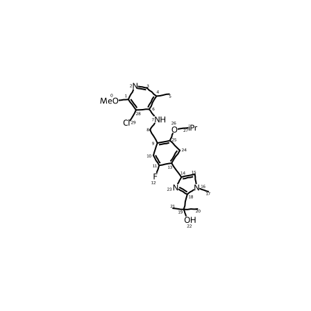 COc1ncc(C)c(NCc2cc(F)c(-c3cn(C)c(C(C)(C)O)n3)cc2OC(C)C)c1Cl